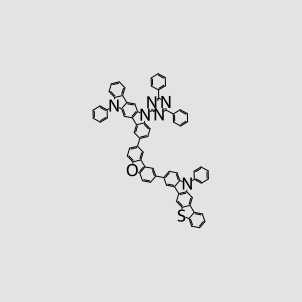 c1ccc(-c2nc(-c3ccccc3)nc(-n3c4ccc(-c5ccc6oc7ccc(-c8ccc9c(c8)c8cc%10sc%11ccccc%11c%10cc8n9-c8ccccc8)cc7c6c5)cc4c4cc5c(cc43)c3ccccc3n5-c3ccccc3)n2)cc1